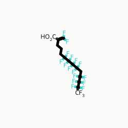 O=C(O)C(CCCC(F)(F)C(F)(F)C(F)(F)C(F)(F)CC(F)(F)C(F)(F)C(F)(F)C(F)(F)F)=C(F)F